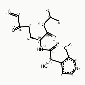 COc1cnccc1[C@H](O)C(=O)N[C@@H](CCC(=O)C=N)C(=O)OC(C)C